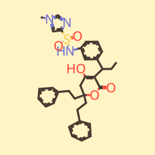 CCC(C1=C(O)CC(CCc2ccccc2)(CCc2ccccc2)OC1=O)c1cccc(NS(=O)(=O)c2cn(C)cn2)c1